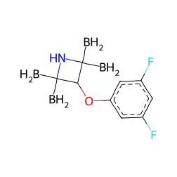 BC1(B)NC(B)(B)C1Oc1cc(F)cc(F)c1